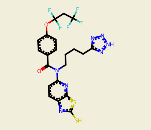 O=C(c1ccc(OC(F)(F)CC(F)(F)F)cc1)N(CCCCc1nn[nH]n1)c1ccc2nc(S)sc2n1